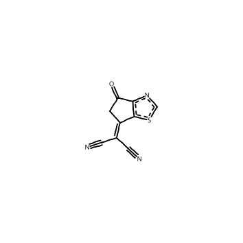 N#CC(C#N)=C1CC(=O)c2ncsc21